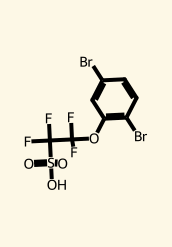 O=S(=O)(O)C(F)(F)C(F)(F)Oc1cc(Br)ccc1Br